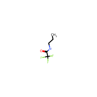 CCC[N]C(=O)C(F)(F)F